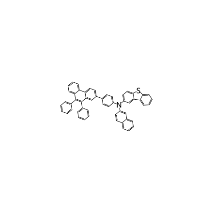 c1ccc(-c2c(-c3ccccc3)c3cc(-c4ccc(N(c5ccc6ccccc6c5)c5ccc6sc7ccccc7c6c5)cc4)ccc3c3ccccc23)cc1